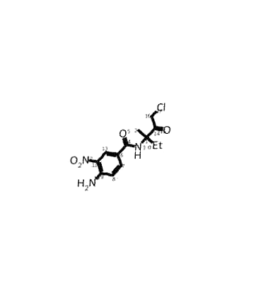 CCC(C)(NC(=O)c1ccc(N)c([N+](=O)[O-])c1)C(=O)CCl